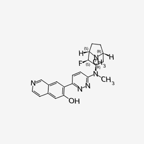 CN(c1ccc(-c2cc3cnccc3cc2O)nn1)[C@@H]1C[C@H]2CC[C@@H]([C@@H]1F)N2C